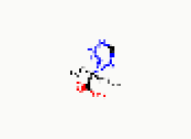 CC(C)(C(=O)O)n1ncnn1